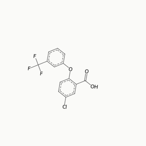 O=C(O)c1cc(Cl)ccc1Oc1cccc(C(F)(F)F)c1